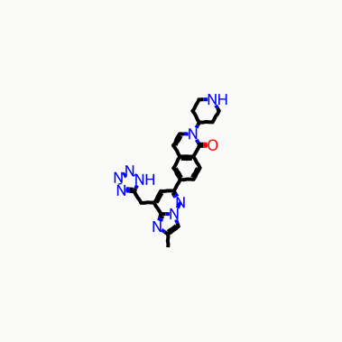 Cc1cn2nc(-c3ccc4c(=O)n(C5CCNCC5)ccc4c3)cc(Cc3nnn[nH]3)c2n1